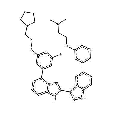 CN(C)CCOc1cncc(-c2cc3c(-c4cc5c(-c6cc(F)cc(OCCN7CCCC7)c6)cccc5[nH]4)n[nH]c3cn2)c1